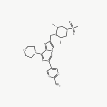 C[C@@H]1CN(S(C)(=O)=O)C[C@H](C)N1Cc1cn2cc(-c3cnc(N)nc3)nc(N3CCOCC3)c2n1